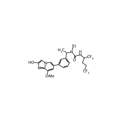 CCN(C(=O)NC(CCC(F)(F)F)C(F)(F)F)[C@H](C)c1cccc(-c2cc(OC)c3nc(O)cn3c2)c1